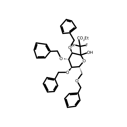 CCOC(=O)C(F)(Br)C1(O)O[C@H](COCc2ccccc2)[C@@H](OCc2ccccc2)[C@H](OCc2ccccc2)[C@H]1OCc1ccccc1